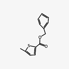 Cc1ccc(C(=O)OCc2ccccc2)s1